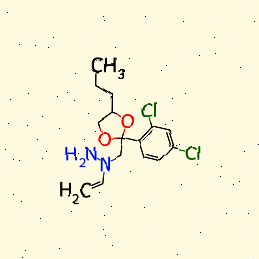 C=CN(N)CC1(c2ccc(Cl)cc2Cl)OCC(CCC)O1